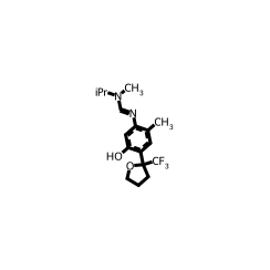 Cc1cc(C2(C(F)(F)F)CCCO2)c(O)cc1N=CN(C)C(C)C